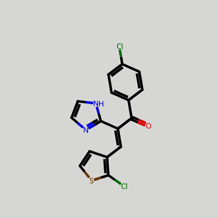 O=C(C(=Cc1ccsc1Cl)c1ncc[nH]1)c1ccc(Cl)cc1